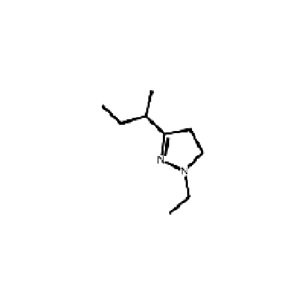 CCC(C)C1=NN(CC)CC1